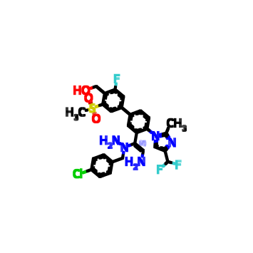 Cc1nc(C(F)F)cn1-c1ccc(-c2cc(F)c(CO)c(S(C)(=O)=O)c2)cc1/C(=C/N)N(N)Cc1ccc(Cl)cc1